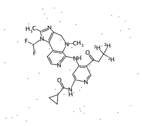 [2H]C([2H])([2H])CC(=O)c1cnc(NC(=O)C2CC2)cc1Nc1nccc2c1N(C)Cc1nc(C)n(C(F)F)c1-2